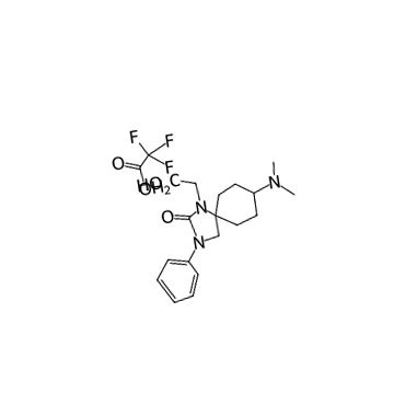 CN(C)C1CCC2(CC1)CN(c1ccccc1)C(=O)N2CC(=O)O.O=C(O)C(F)(F)F